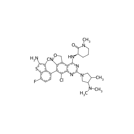 CC1CN(c2nc(N[C@@H]3CCCN(C)C3=O)c3c4c(c(-c5ccc(F)c6sc(N)c(C#N)c56)c(Cl)c3n2)COC4)CC1N(C)C